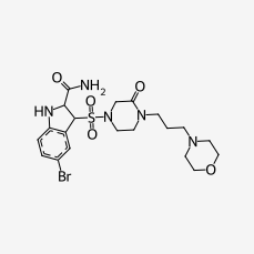 NC(=O)C1Nc2ccc(Br)cc2C1S(=O)(=O)N1CCN(CCCN2CCOCC2)C(=O)C1